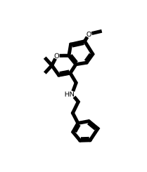 COc1ccc2c(c1)OC(C)(C)C=C2CNCCc1ccccc1